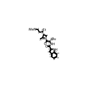 CCN(CCNC)[C@@H]1CN(C(=O)[C@@H](NC(=O)c2cc3ccccc3[nH]2)C(C)(C)C)C1C